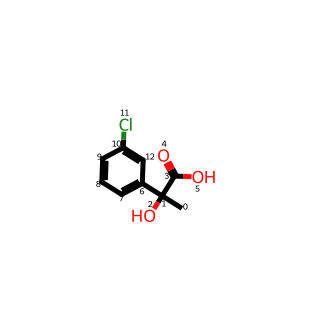 CC(O)(C(=O)O)c1cccc(Cl)c1